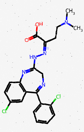 CN(C)CC/C(=N/NC1=Nc2ccc(Cl)cc2C(c2ccccc2Cl)=NC1)C(=O)O